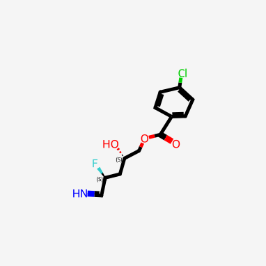 N=C[C@@H](F)C[C@H](O)COC(=O)c1ccc(Cl)cc1